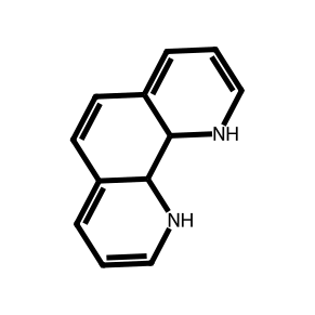 C1=CNC2C(=C1)C=CC1=CC=CNC12